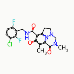 Cc1c2n3c(c(C(=O)NCc4c(F)ccc(Cl)c4F)c1=O)CCN3CN(C)C2=O